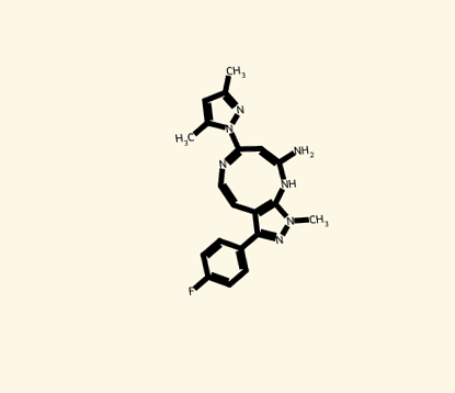 Cc1cc(C)n(-c2cc(N)[nH]c3c(ccn2)c(-c2ccc(F)cc2)nn3C)n1